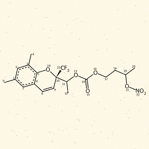 Cc1cc(C)c2c(c1)C=C[C@](C(C)OC(=O)OCCC(C)O[N+](=O)[O-])(C(F)(F)F)O2